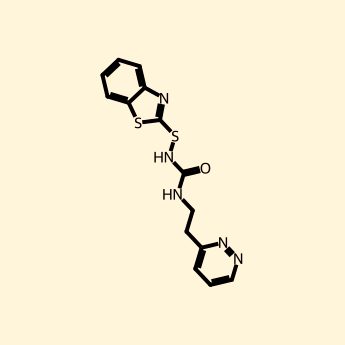 O=C(NCCc1cccnn1)NSc1nc2ccccc2s1